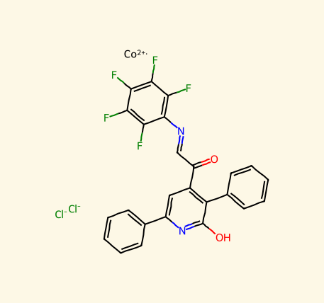 O=C(C=Nc1c(F)c(F)c(F)c(F)c1F)c1cc(-c2ccccc2)nc(O)c1-c1ccccc1.[Cl-].[Cl-].[Co+2]